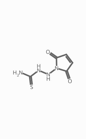 NC(=S)NNN1C(=O)C=CC1=O